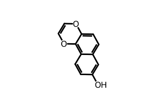 Oc1ccc2c3c(ccc2c1)OC=CO3